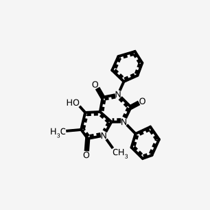 Cc1c(O)c2c(=O)n(-c3ccccc3)c(=O)n(-c3ccccc3)c2n(C)c1=O